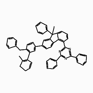 CC1=C(c2cc(-c3ccc4c(c3)C(C)(c3ccccc3)c3cccc(-c5nc(-c6ccccc6)nc(-c6ccccc6)n5)c3-4)ccc2Cc2ccccc2)C=CCC1